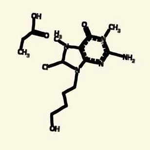 CCC(=O)O.CN1c2c(nc(N)n(C)c2=O)N(CCCCO)C1Cl